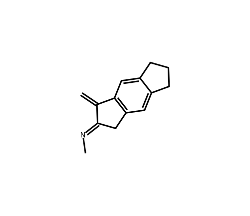 C=C1/C(=N/C)Cc2cc3c(cc21)CCC3